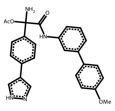 COc1ccc(-c2cccc(NC(=O)C(N)(OC(C)=O)c3ccc(-c4cn[nH]c4)cc3)c2)cc1